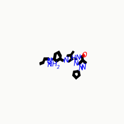 C=C/C=C\N(N)c1cccc(CN2CC(C)[C@H](c3nc4c(cnn4C4CCCC4)c(=O)[nH]3)C2)c1